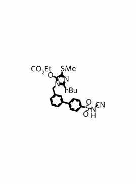 CCCCc1nc(SC)c(OC(=O)OCC)n1Cc1cccc(-c2ccc(S(=O)(=O)NC#N)cc2)c1